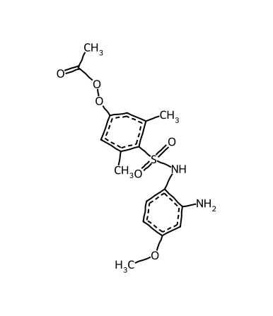 COc1ccc(NS(=O)(=O)c2c(C)cc(OOC(C)=O)cc2C)c(N)c1